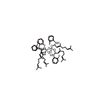 CC(C)=CCC/C(C)=C/C(Nc1ccccc1F)OP(=O)(OC(/C=C(\C)CCC=C(C)C)Nc1ccccc1F)OP(=O)(OC(/C=C(\C)CCC=C(C)C)Nc1ccccc1F)OC(/C=C(\C)CCC=C(C)C)Nc1ccccc1F